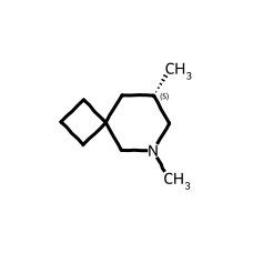 C[C@@H]1CN(C)CC2(CCC2)C1